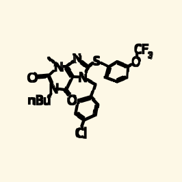 CCCCn1c(=O)c2c(nc(Sc3cccc(OC(F)(F)F)c3)n2Cc2ccc(Cl)cc2)n(C)c1=O